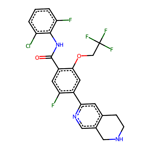 O=C(Nc1c(F)cccc1Cl)c1cc(F)c(-c2cc3c(cn2)CNCC3)cc1OCC(F)(F)F